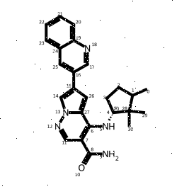 CC1CC[C@@H](Nc2c(C(N)=O)cnn3cc(-c4cnc5ccccc5c4)cc23)C1(C)C